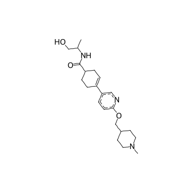 CC(CO)NC(=O)C1CC=C(c2ccc(OCC3CCN(C)CC3)nc2)CC1